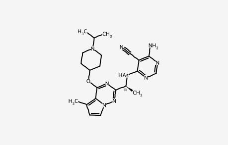 Cc1ccn2nc([C@H](C)[AsH]c3ncnc(N)c3C#N)nc(OC3CCN(C(C)C)CC3)c12